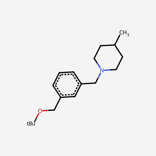 CC1CCN(Cc2cccc(COC(C)(C)C)c2)CC1